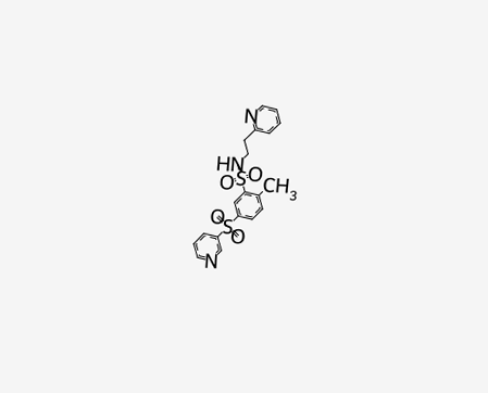 Cc1ccc(S(=O)(=O)c2cccnc2)cc1S(=O)(=O)NCCc1ccccn1